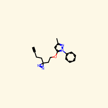 C#CCCC1(CCOc2cc(C)nn2-c2ccccc2)N=N1